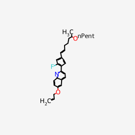 C=CCOc1ccc2nc(-c3ccc(/C=C/CCCC(C)OCCCCC)cc3F)ccc2c1